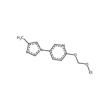 CCOCOc1ccc(-n2cnc(C)c2)cn1